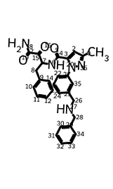 Cc1cc(C(=O)NC(Cc2ccccc2)C(=O)C(N)=O)n(-c2cccc(CNCc3ccccc3)c2)n1